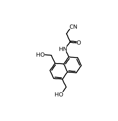 N#CCC(=O)Nc1cccc2c(CO)ccc(CO)c12